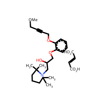 COCC#CCOc1ccccc1OCC(O)CN1C(C)(C)CCCC1(C)C.O=C(O)C=CC(=O)O